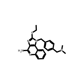 CCSc1nc2c(N)nc3ccccc3c2n1Cc1ccc(CN(C)C)cc1